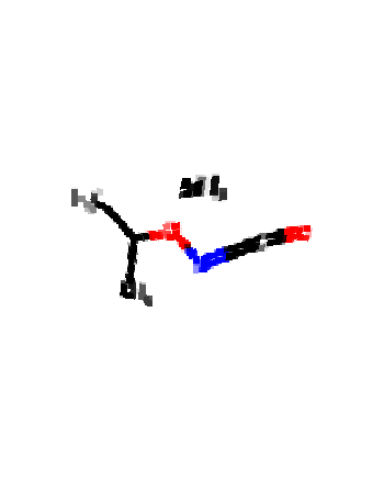 CC(C)ON=C=O.[SiH4]